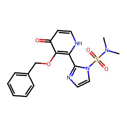 CN(C)S(=O)(=O)n1ccnc1-c1[nH]ccc(=O)c1OCc1ccccc1